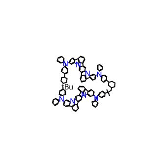 CC(C)(C)c1ccc(N(c2ccccc2)c2ccc3c4cccc5c6cc7c(cc6n(c3c2)c45)c2cccc3c4ccc(N(c5ccccc5)c5ccc(C(C)(C)CC6CCCC(c8ccc(N(c9ccccc9)c9ccc%10c%11cccc%12c%13cc%14c(cc%13n(c%10c9)c%11%12)c9cccc%10c%11ccc(N(c%12ccccc%12)c%12ccc(C%13CCCCC%13)cc%12)cc%11n%14c%109)cc8)C6)cc5)cc4n7c32)cc1